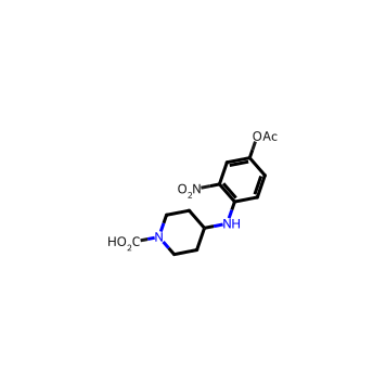 CC(=O)Oc1ccc(NC2CCN(C(=O)O)CC2)c([N+](=O)[O-])c1